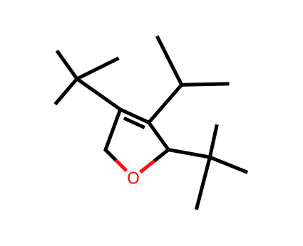 CC(C)C1=C(C(C)(C)C)COC1C(C)(C)C